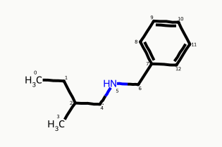 CCC(C)[CH]NCc1ccccc1